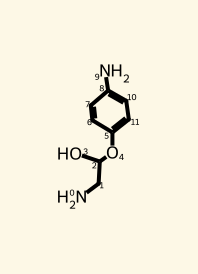 NCC(O)Oc1ccc(N)cc1